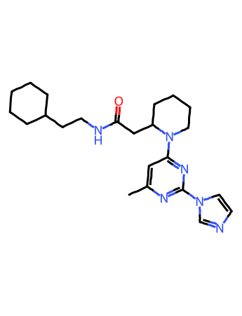 Cc1cc(N2CCCCC2CC(=O)NCCC2CCCCC2)nc(-n2ccnc2)n1